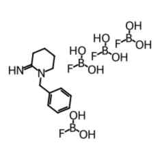 N=C1CCCCN1Cc1ccccc1.OB(O)F.OB(O)F.OB(O)F.OB(O)F